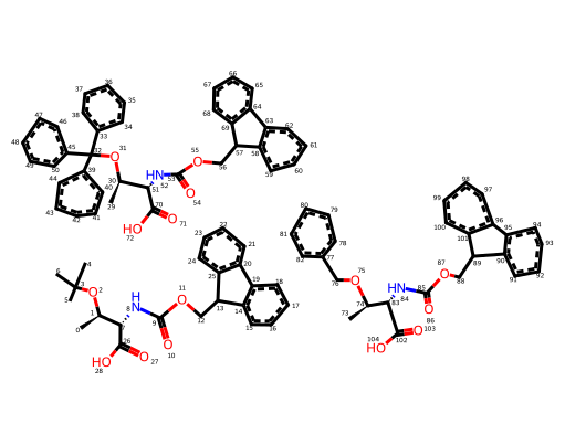 C[C@@H](OC(C)(C)C)[C@H](NC(=O)OCC1c2ccccc2-c2ccccc21)C(=O)O.C[C@@H](OC(c1ccccc1)(c1ccccc1)c1ccccc1)[C@H](NC(=O)OCC1c2ccccc2-c2ccccc21)C(=O)O.C[C@@H](OCc1ccccc1)[C@H](NC(=O)OCC1c2ccccc2-c2ccccc21)C(=O)O